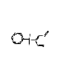 C=C/C=C(\C=C)C(C)(C)c1ccccc1